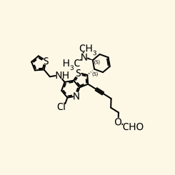 CN(C)[C@H]1CC=CC[C@@H]1c1sc2c(NCc3cccs3)cc(Cl)nc2c1C#CCCCOC=O